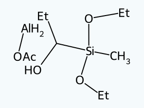 CC(=O)[O][AlH2].CCO[Si](C)(OCC)C(O)CC